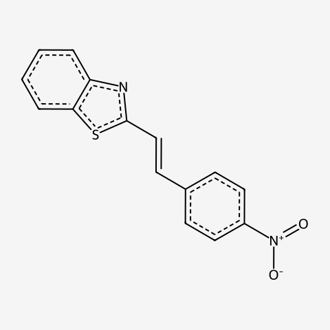 O=[N+]([O-])c1ccc(C=Cc2nc3ccccc3s2)cc1